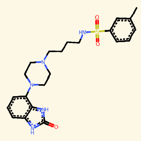 Cc1cccc(S(=O)(=O)NCCCCN2CCN(c3cccc4[nH]c(=O)[nH]c34)CC2)c1